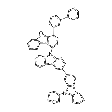 c1ccc(-c2cccc(-c3ccc(-n4c5ccccc5c5cc(-c6ccc7c8ccccc8n(-c8ccccc8)c7c6)ccc54)c4c3oc3ccccc34)c2)cc1